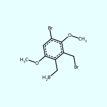 BCc1c(OC)cc(Br)c(OC)c1CBr